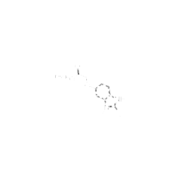 Cn1c(=O)[nH]c2ccc(OCC(=O)OC(C)(C)C)cc21